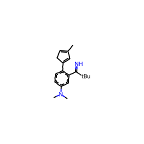 CC1=CCC(c2ccc(N(C)C)cc2C(=N)C(C)(C)C)=C1